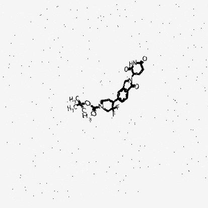 CC(C)(C)OC(=O)N1CCC(c2ccc3c(c2)CN(C2CCC(=O)NC2=O)C3=O)C(F)(F)C1